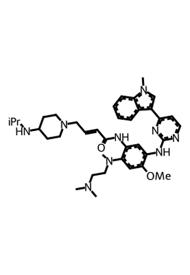 COc1cc(N(C)CCN(C)C)c(NC(=O)/C=C/CN2CCC(NC(C)C)CC2)cc1Nc1nccc(-c2cn(C)c3ccccc23)n1